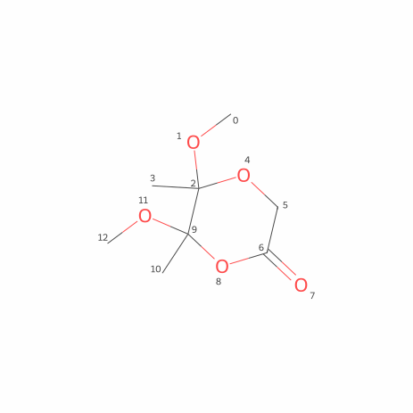 COC1(C)OCC(=O)OC1(C)OC